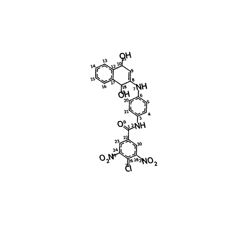 O=C(Nc1ccc(NC2=CC(O)c3ccccc3C2O)cc1)c1cc([N+](=O)[O-])c(Cl)c([N+](=O)[O-])c1